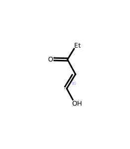 CCC(=O)/C=[C]/O